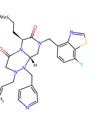 C=CCN1CC(=O)N2[C@@H](CCSC)C(=O)N(Cc3ccc(F)c4scnc34)C[C@@H]2N1Cc1ccncc1